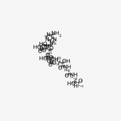 CCC(=O)[SH](O)CCNC(=O)CCNC(=O)C(O)C(C)(C)COP(=O)(O)OP(=O)(O)OC[C@H]1O[C@@H](n2cnc3c(N)ncnc32)[C@H](O)[C@@H]1OP(=O)(O)O